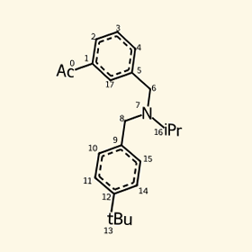 CC(=O)c1cccc(CN(Cc2ccc(C(C)(C)C)cc2)C(C)C)c1